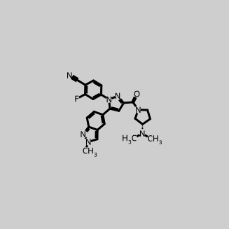 CN(C)[C@H]1CCN(C(=O)c2cc(-c3ccc4nn(C)cc4c3)n(-c3ccc(C#N)c(F)c3)n2)C1